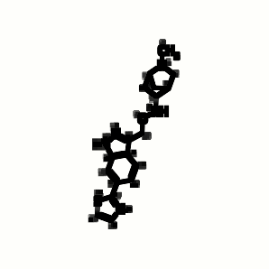 CN1CC2CC1CC2NOCc1n[nH]c2cc(-c3nccs3)ccc12